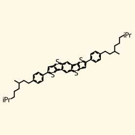 CC(C)CCCC(C)CCc1ccc(-c2cc3sc4cc5c(cc4c3s2)sc2cc(-c3ccc(CCC(C)CCCC(C)C)cc3)sc25)cc1